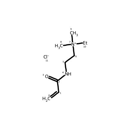 C=CC(=O)NCC[N+](C)(C)CC.[Cl-]